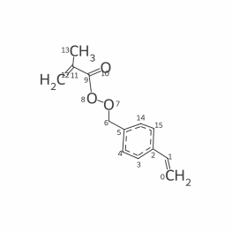 C=Cc1ccc(COOC(=O)C(=C)C)cc1